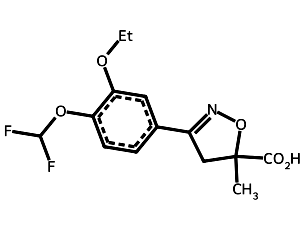 CCOc1cc(C2=NOC(C)(C(=O)O)C2)ccc1OC(F)F